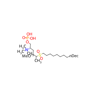 CCCCCCCCCCCCCCCCCCS(=O)(=O)C(C)C(CC(COP(=O)(O)O)[N+](C)(C)C)OC